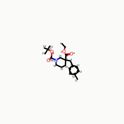 CCOC(=O)C1(Cc2ccc(C)cc2)CCCN(C(=O)OC(C)(C)C)C1